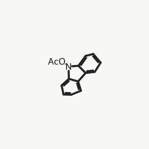 CC(=O)On1c2ccccc2c2ccccc21